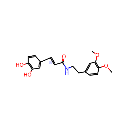 COc1ccc(CCNC(=O)/C=C/c2ccc(O)c(O)c2)cc1OC